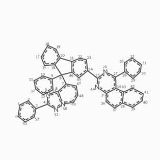 c1ccc(-c2nc3c(C4(c5ccccc5)c5ccccc5-c5ccc(-c6nc(-c7ccccc7)c7c(ccc8ccccc87)n6)cc54)cccn3n2)cc1